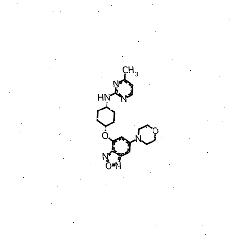 Cc1ccnc(N[C@H]2CC[C@@H](Oc3cc(N4CCOCC4)cc4nonc34)CC2)n1